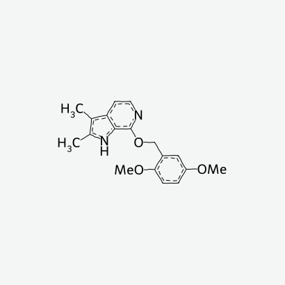 COc1ccc(OC)c(COc2nccc3c(C)c(C)[nH]c23)c1